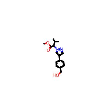 COC(=O)C(C(C)C)n1cc(-c2ccc(CO)cc2)cn1